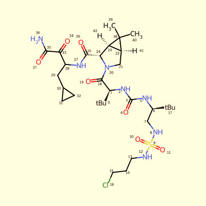 CC(C)(C)[C@H](NC(=O)N[C@H](CNS(=O)(=O)NCCCCl)C(C)(C)C)C(=O)N1C[C@H]2[C@@H]([C@H]1C(=O)NC(CC1CC1)C(=O)C(N)=O)C2(C)C